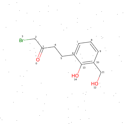 O=C(CBr)CCc1cccc(CO)c1O